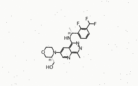 Cc1nnc(N[C@H](C)c2cccc(C(F)F)c2F)c2cc(N3CCOC[C@H]3CO)cnc12